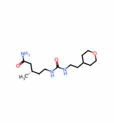 C[C@@H]([CH]CNC(=O)NCCC1CCOCC1)CC(N)=O